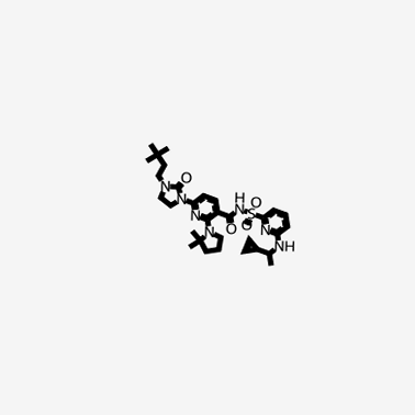 CC(Nc1cccc(S(=O)(=O)NC(=O)c2ccc(N3CCN(CCC(C)(C)C)C3=O)nc2N2CCCC2(C)C)n1)C1C=C1